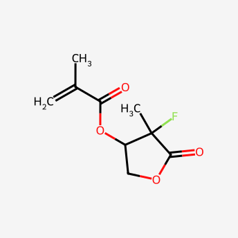 C=C(C)C(=O)OC1COC(=O)C1(C)F